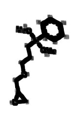 CO[Si](CCCOCC1CO1)(OC)c1ccccc1